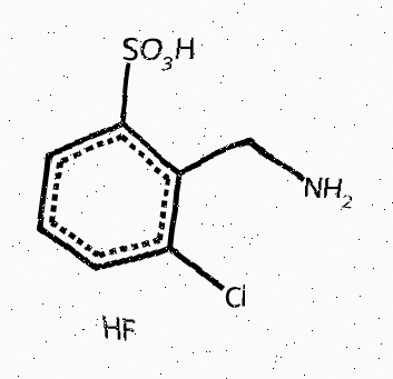 F.NCc1c(Cl)cccc1S(=O)(=O)O